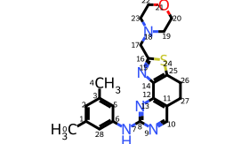 Cc1cc(C)cc(Nc2ncc3c(n2)-c2nc(CN4CCOCC4)sc2CC3)c1